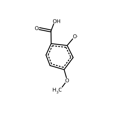 COc1ccc(C(=O)O)c([O])c1